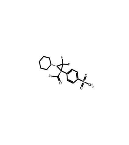 CC(C)C(=O)[C@@]1(c2ccc(S(C)(=O)=O)cc2)[C@H](C2CCCCC2)C1(F)F